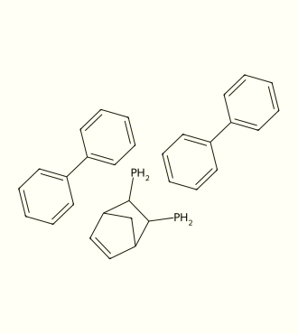 PC1C2C=CC(C2)C1P.c1ccc(-c2ccccc2)cc1.c1ccc(-c2ccccc2)cc1